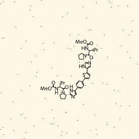 COC(=O)NC(C(=O)N1CCC[C@H]1c1ncc(-c2ccc(-c3ccc(-c4cnc([C@@H]5CCCN5C(=O)[C@@H](NC(=O)OC)C(C)C)[nH]4)cc3)s2)[nH]1)C(C)C